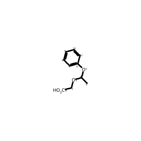 CC(OCC(=O)O)Oc1ccccc1